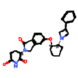 O=C1CC[C@H](N2Cc3cc(O[C@H]4CCCC[C@H]4N4CC(c5ccccc5)C4)ccc3C2=O)C(=O)N1